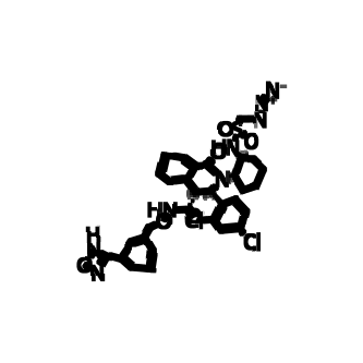 [N-]=[N+]=NCS(=O)(=O)N[C@H]1CCCC[C@@H]1N1C(=O)c2ccccc2[C@@H](C(=O)NOCc2cccc(-c3no[nH]3)c2)[C@@H]1c1ccc(Cl)cc1Cl